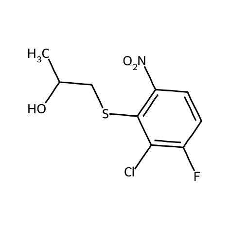 CC(O)CSc1c([N+](=O)[O-])ccc(F)c1Cl